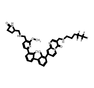 COc1nc(-c2cccc(-c3cccc(-c4ccn5c(=O)c(CNCCCC(F)(F)C(F)(F)F)cnc5c4)c3Cl)c2Cl)ccc1CNCC1CCC(=O)N1